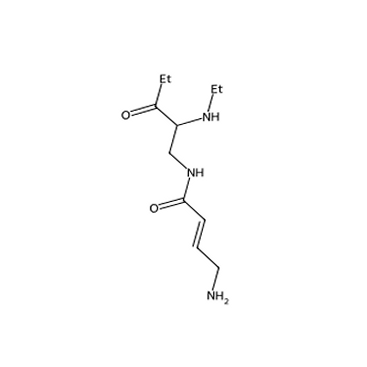 CCNC(CNC(=O)/C=C/CN)C(=O)CC